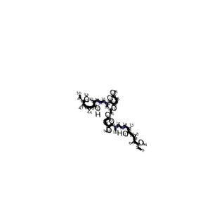 CC[C@H](OC)[C@@H](C)[C@@H]1C[C@H]1[C@H](O)[C@@H](C)/C=C/C=C(\C)[C@@H]1O[C@@H](OCCO[C@@H]2CC[C@H](OC)O[C@H]2/C(C)=C/C=C/[C@H](C)[C@@H](O)[C@@H]2C[C@H]2[C@H](C)[C@H](CC)OC)CC[C@@H]1OC